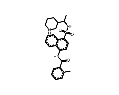 Cc1ccccc1C(=O)Nc1ccc(S(=O)(=O)NC(C)C2CCCNC2)c2ccccc12